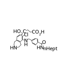 CCCCCCCNC(=O)c1ccc(CNc2c(Cl)ccc3c2CCNCC3)cc1.O=C(O)CCC(=O)O